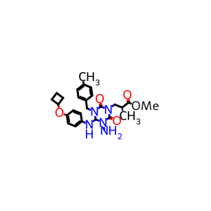 COC(=O)[C@@H](C)CN1C(=O)N(N)C(Nc2ccc(OC3CCC3)cc2)N(Cc2ccc(C)cc2)C1=O